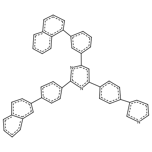 c1cncc(-c2ccc(-c3cc(-c4cccc(-c5cccc6ccccc56)c4)nc(-c4ccc(-c5ccc6ccccc6c5)cc4)n3)cc2)c1